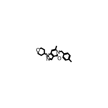 Cc1ccc(Cn2c(C)cc3c(cnn3C3CCOCC3)c2=O)cc1